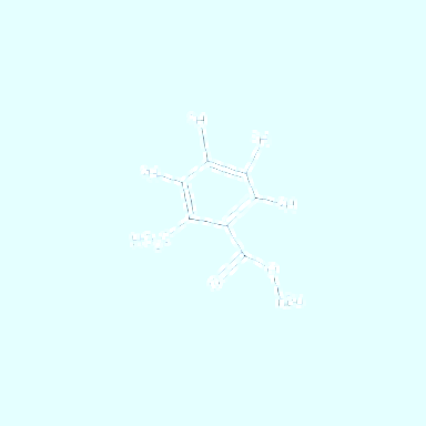 [2H]c1c([2H])c([2H])c(C(=O)OCCCC)c(C(=O)O)c1[2H]